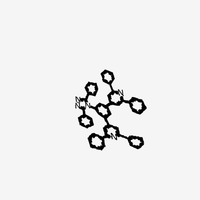 c1ccc(-c2cc(-c3cc(-c4cc(-c5ccccc5)nc(-c5ccccc5)c4)cc(-n4c(-c5ccccc5)nnc4-c4ccccc4)c3)cc(-c3ccccc3)n2)cc1